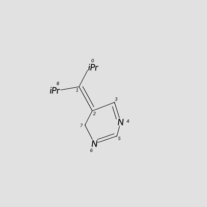 CC(C)C(=C1C=NC=NC1)C(C)C